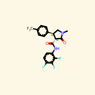 CN1C[C@H](c2ccc(C(F)(F)F)cc2)[C@@H](C(=O)Nc2ccc(F)c(F)c2F)C1=O